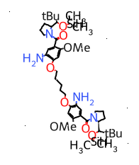 COc1cc(OCCCCCOc2cc(OC)c(C(=O)N3CCC[C@H]3C(O[SiH](C)C)C(C)(C)C)cc2N)c(N)cc1C(=O)N1CCCC1C(O[SiH](C)C)C(C)(C)C